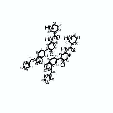 O=C(Nc1cc(-c2ccc3c(c2)ncn3Cc2cscn2)c(Cl)cn1)[C@@H]1CCCNC1.O=C(Nc1cc(-c2ccc3ncn(Cc4cscn4)c3c2)c(Cl)cn1)[C@@H]1CCCNC1